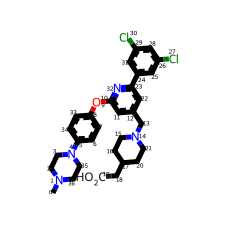 CN1CCN(c2ccc(Oc3cc(CN4CCC(CC(=O)O)CC4)cc(-c4cc(Cl)cc(Cl)c4)n3)cc2)CC1